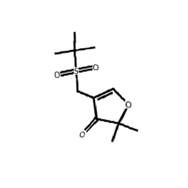 CC1(C)OC=C(CS(=O)(=O)C(C)(C)C)C1=O